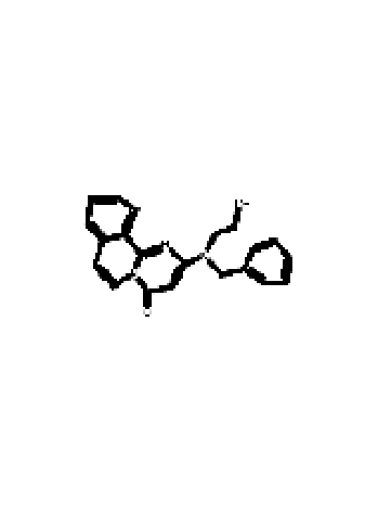 O=c1cc(N(CCO)Cc2ccccc2)nc2c3ccccc3ccn12